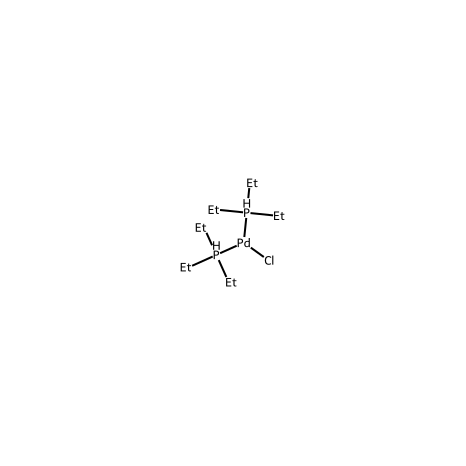 CC[PH](CC)(CC)[Pd]([Cl])[PH](CC)(CC)CC